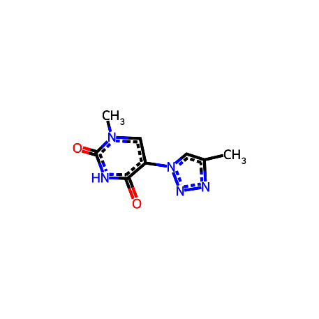 Cc1cn(-c2cn(C)c(=O)[nH]c2=O)nn1